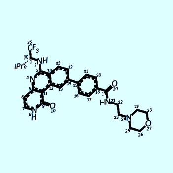 CC(C)[C@@H](Nc1nc2cc[nH]c(=O)c2c2cc(-c3ccc(C(=O)NCCN4CCOCC4)cc3)ccc12)C(F)(F)F